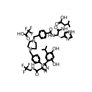 CC(C)c1cc(-c2nnc(C(=O)NCC(F)(F)F)n2-c2ccc(CN3CCN(Cc4ccc(C(=O)N[C@@H](Cc5c[nH]cn5)C(=O)N[C@H](C(=O)O)C(C)C)cc4)CC3)cc2)c(O)cc1O.O=C(O)C(F)(F)F